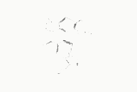 COc1cc(N(CC#N)C(=O)c2ccn3ncc(Br)c3c2)ccc1Cl